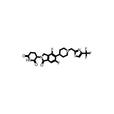 O=C1CCC(N2Cc3c(cc(F)c(C4CCN(Cc5nc(C(F)(F)F)cs5)CC4)c3F)C2=O)C(=O)N1